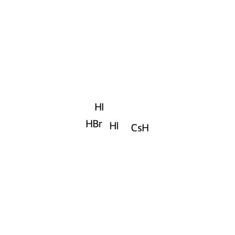 Br.I.I.[CsH]